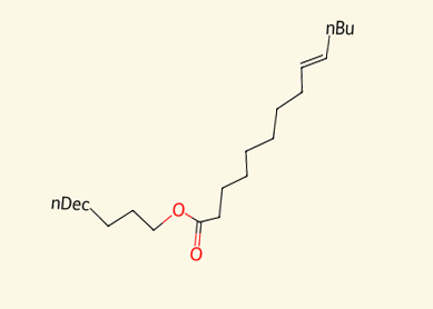 CCCCC=CCCCCCCCC(=O)OCCCCCCCCCCCCC